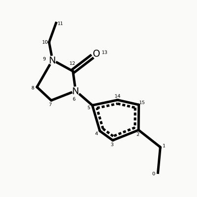 CCc1ccc(N2CCN(CC)C2=O)cc1